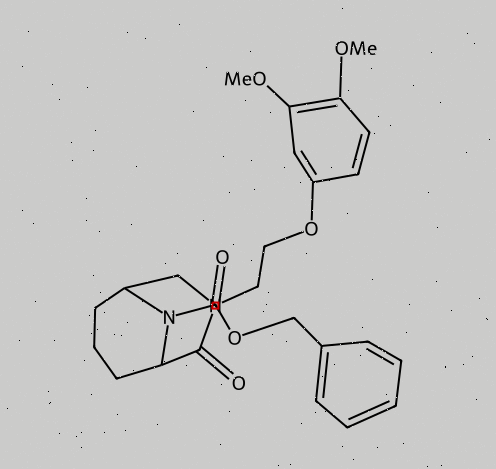 COc1ccc(OCCN2CC3CCCC(C2=O)N3C(=O)OCc2ccccc2)cc1OC